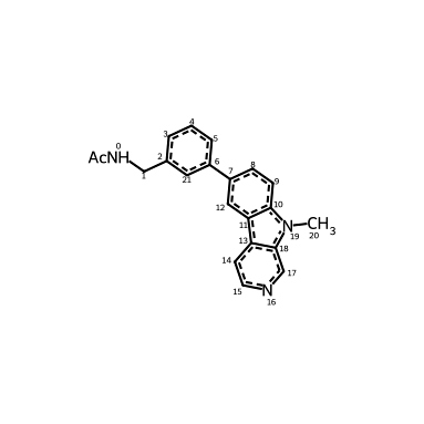 CC(=O)NCc1cccc(-c2ccc3c(c2)c2ccncc2n3C)c1